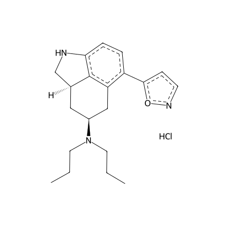 CCCN(CCC)[C@@H]1Cc2c(-c3ccno3)ccc3c2[C@H](CN3)C1.Cl